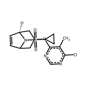 Cc1c(Cl)ncnc1O[C@@H]1CC2C=C[C@@H](C1)N2S(=O)(=O)C1CC1